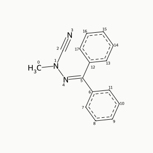 CN(C#N)N=C(c1ccccc1)c1ccccc1